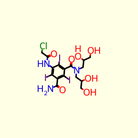 NC(=O)c1c(I)c(NC(=O)CCl)c(I)c(C(=O)N(CC(O)CO)CC(O)CO)c1I